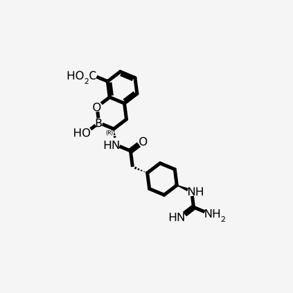 N=C(N)N[C@H]1CC[C@H](CC(=O)N[C@H]2Cc3cccc(C(=O)O)c3OB2O)CC1